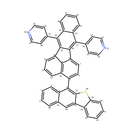 c1ccc2c(-c3ccc4c5c(cccc35)-c3c-4c(-c4ccncc4)c4ccccc4c3-c3ccncc3)c3sc4ccccc4c3cc2c1